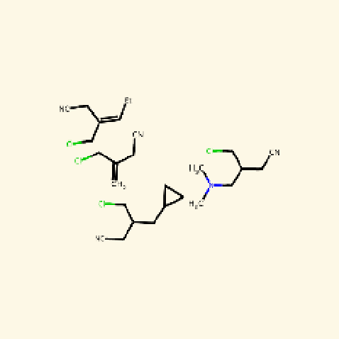 C=C(CCl)CC#N.CCC=C(CCl)CC#N.CN(C)CC(CCl)CC#N.N#CCC(CCl)CC1CC1